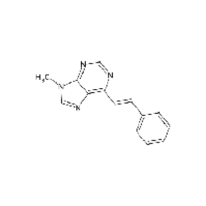 Cn1cnc2c(/C=C/c3ccccc3)ncnc21